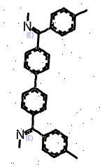 C/N=C(\c1ccc(C)cc1)c1ccc(-c2ccc(/C(=N/C)c3ccc(C)cc3)cc2)cc1